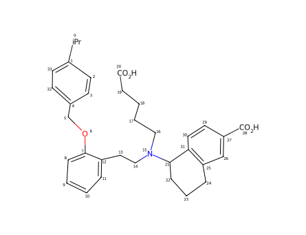 CC(C)c1ccc(COc2ccccc2CCN(CCCCC(=O)O)C2CCCc3cc(C(=O)O)ccc32)cc1